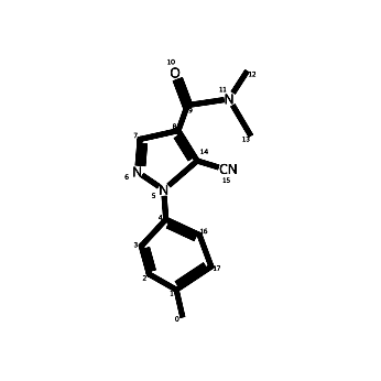 Cc1ccc(-n2ncc(C(=O)N(C)C)c2C#N)cc1